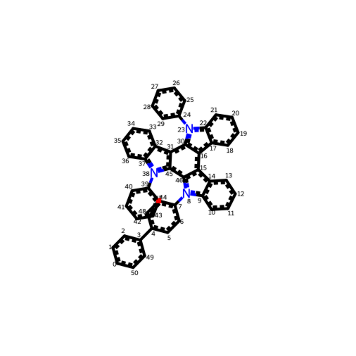 c1ccc(-c2ccc(-n3c4ccccc4c4c5c6ccccc6n(-c6ccccc6)c5c5c6ccccc6n(-c6ccccc6)c5c43)cc2)cc1